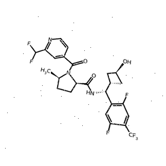 C[C@@H]1CC[C@H](C(=O)N[C@@H](c2cc(F)c(C(F)(F)F)cc2F)[C@H]2C[C@H](O)C2)N1C(=O)c1ccnc(C(F)F)c1